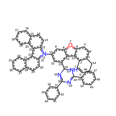 C1=Cc2c(ccc3oc4cc(-n5c6ccc7ccccc7c6c6c7ccccc7ccc65)cc(C5N=C(c6ccccc6)N=C(c6ccccc6)N5)c4c23)CC1